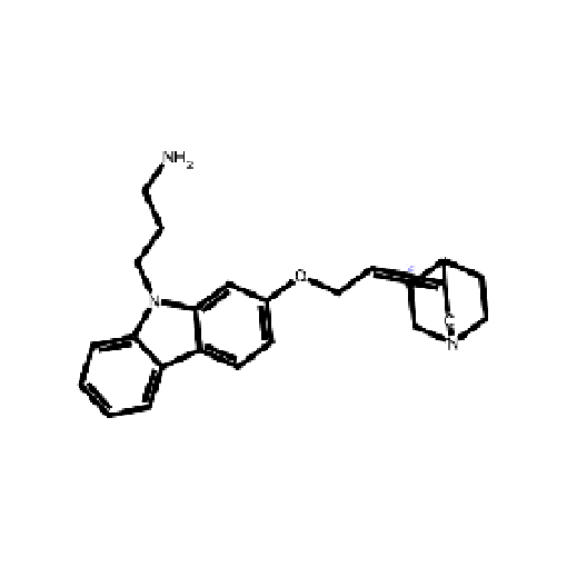 NCCCn1c2ccccc2c2ccc(OC/C=C3\CN4CCC3CC4)cc21